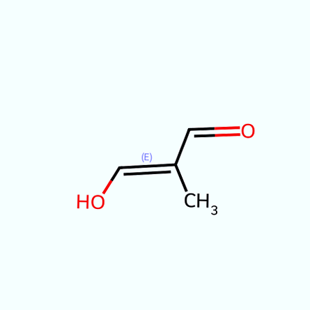 C/C(C=O)=C\O